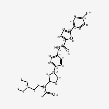 CCN(CC)CCN(C(C)=O)C1CCN(c2ccc(NC(=O)c3ccc(-c4ccc(F)cc4)o3)cc2)C1